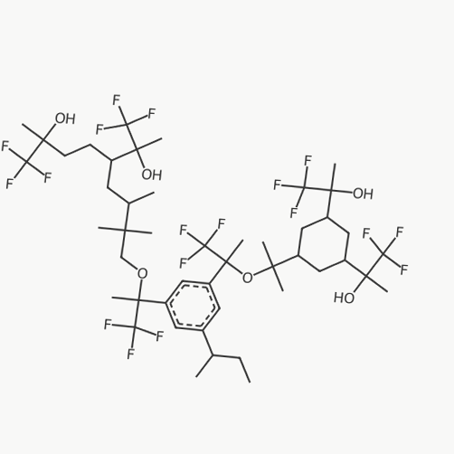 CCC(C)c1cc(C(C)(OCC(C)(C)C(C)CC(CCC(C)(O)C(F)(F)F)C(C)(O)C(F)(F)F)C(F)(F)F)cc(C(C)(OC(C)(C)C2CC(C(C)(O)C(F)(F)F)CC(C(C)(O)C(F)(F)F)C2)C(F)(F)F)c1